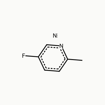 Cc1ccc(F)cn1.[N]